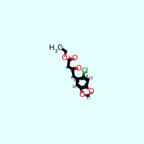 CCOC(=O)CC(=O)Cc1cc2c(cc1Cl)OCO2